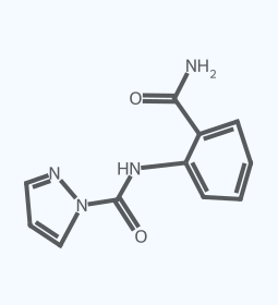 NC(=O)c1ccccc1NC(=O)n1cccn1